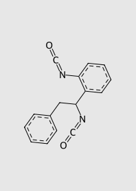 O=C=Nc1ccccc1C(Cc1ccccc1)N=C=O